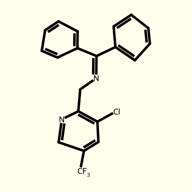 FC(F)(F)c1cnc(CN=C(c2ccccc2)c2ccccc2)c(Cl)c1